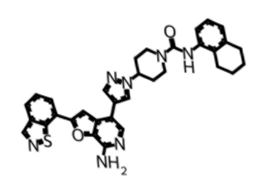 Nc1ncc(-c2cnn(C3CCN(C(=O)Nc4cccc5c4CCCC5)CC3)c2)c2cc(-c3cccc4cnsc34)oc12